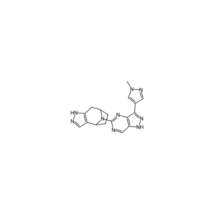 Cn1cc(-c2n[nH]c3cnc(N4C5CCC4c4cn[nH]c4C5)nc23)cn1